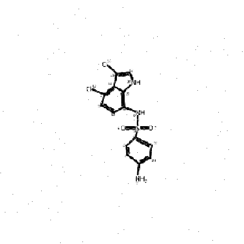 Nc1ccc(S(=O)(=O)Nc2ccc(Cl)c3c(Cl)c[nH]c23)cc1